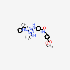 CNc1nc(NCC(C)c2ccccc2)nc(NC2CCC(C(=O)NCc3ccc(C(=O)OC)cc3)CC2)n1